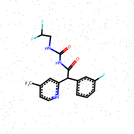 O=C(NCC(F)F)NC(=O)C(c1cccc(F)c1)c1cc(C(F)(F)F)ccn1